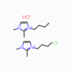 CCCC[n+]1ccn(C)c1C.CCCC[n+]1ccn(C)c1C.[Cl-].[OH-]